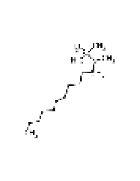 CCCCCCCCCC[SiH2]N(C)[Si](C)(C)C